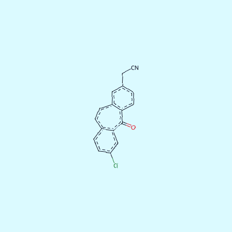 N#CCc1ccc2c(=O)c3cc(Cl)ccc3ccc2c1